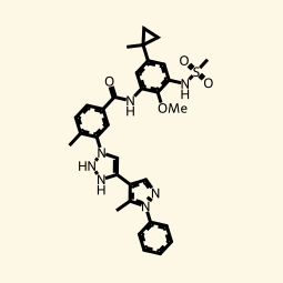 COc1c(NC(=O)c2ccc(C)c(N3C=C(c4cnn(-c5ccccc5)c4C)NN3)c2)cc(C2(C)CC2)cc1NS(C)(=O)=O